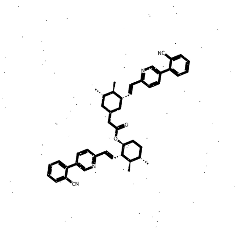 C[C@H]1[C@H](/C=C/c2ccc(-c3ccccc3C#N)cn2)[C@@H](OC(=O)CC2C[C@@H](/C=C/c3ccc(-c4ccccc4C#N)cn3)[C@H](C)[C@@H](C)C2)CC[C@@H]1C